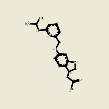 CC(C)Sc1cccc(COc2ccc3c(c2)OCC3CC(=O)O)n1